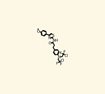 COc1ccc(-c2csc(NC(=O)CCc3ccc(N(CC(F)(F)Cl)CC(F)(F)Cl)cc3)n2)cc1